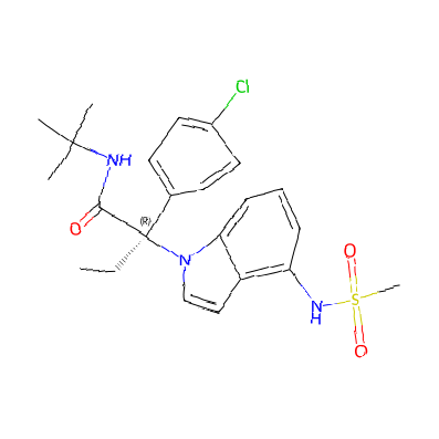 CC[C@](C(=O)NC(C)(C)C)(c1ccc(Cl)cc1)n1ccc2c(NS(C)(=O)=O)cccc21